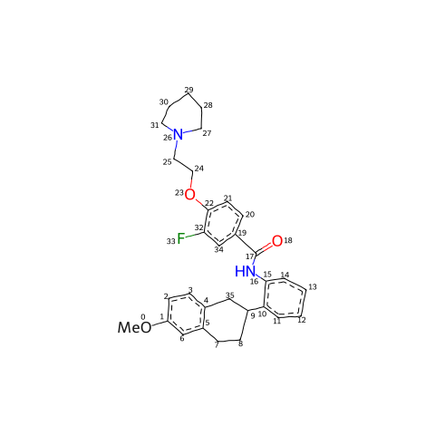 COc1ccc2c(c1)CCC(c1ccccc1NC(=O)c1ccc(OCCN3CCCCC3)c(F)c1)C2